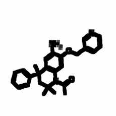 CC(=O)N1c2cc(OCc3cccnc3)c(N)cc2C(C)(c2ccccc2)CC1(C)C